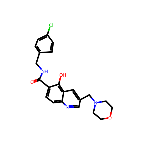 O=C(NCc1ccc(Cl)cc1)c1ccc2ncc(CN3CCOCC3)cc2c1O